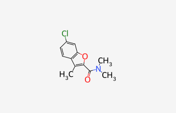 Cc1c(C(=O)N(C)C)oc2cc(Cl)ccc12